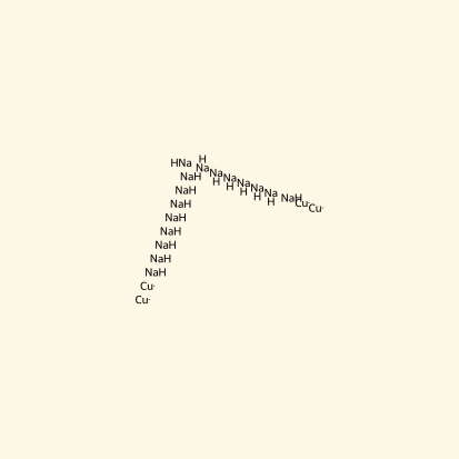 [Cu].[Cu].[Cu].[Cu].[NaH].[NaH].[NaH].[NaH].[NaH].[NaH].[NaH].[NaH].[NaH].[NaH].[NaH].[NaH].[NaH].[NaH].[NaH].[NaH]